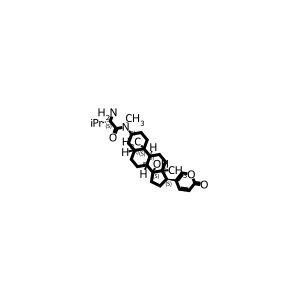 CC(C)[C@H](N)C(=O)N(C)[C@H]1CC[C@@]2(C)[C@H](CC[C@@H]3[C@@H]2CC[C@]2(C)[C@@H](c4ccc(=O)oc4)CC[C@]32O)C1